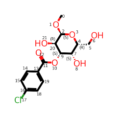 CO[C@H]1O[C@H](CO)[C@H](O)[C@H](OC(=O)c2ccc(Cl)cc2)[C@H]1O